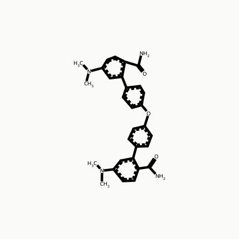 CN(C)c1ccc(C(N)=O)c(-c2ccc(Oc3ccc(-c4cc(N(C)C)ccc4C(N)=O)cc3)cc2)c1